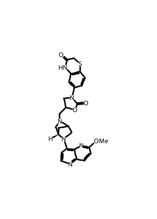 COc1ccc2nccc(N3CC4C[C@H]3CN4CC3CN(c4ccc5c(c4)NC(=O)CS5)C(=O)O3)c2n1